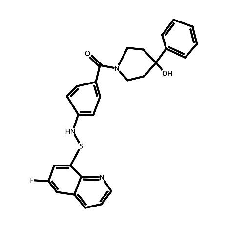 O=C(c1ccc(NSc2cc(F)cc3cccnc23)cc1)N1CCC(O)(c2ccccc2)CC1